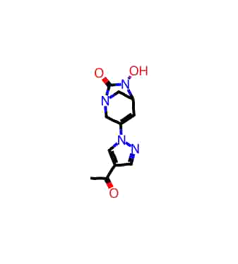 CC(=O)c1cnn(C2=CC3CN(C2)C(=O)N3O)c1